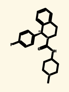 CN1CCC(NC(=O)N2CCc3ccccc3[C@@H]2c2ccc(F)cc2)CC1